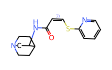 O=C(/C=C\Sc1ccccn1)NC1CN2CCC1CC2